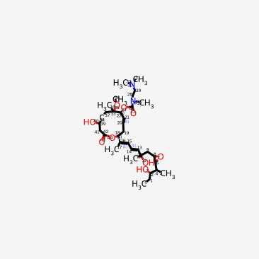 CCC(O)C(C)C1OC1CC(C)(O)/C=C/C=C(\C)[C@@H]1C/C=C/[C@H](OC(=O)N(C)CCN(C)C)C(C)(OC)CCC(O)CC(=O)O1